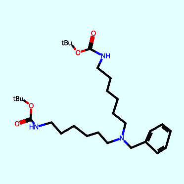 CC(C)(C)OC(=O)NCCCCCCN(CCCCCCNC(=O)OC(C)(C)C)Cc1ccccc1